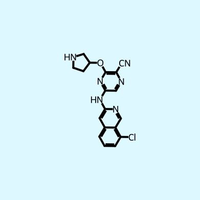 N#Cc1ncc(Nc2cc3cccc(Cl)c3cn2)nc1OC1CCNC1